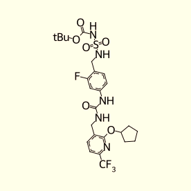 CC(C)(C)OC(=O)NS(=O)(=O)NCc1ccc(NC(=O)NCc2ccc(C(F)(F)F)nc2OC2CCCC2)cc1F